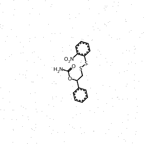 NC(=O)OC(CSSc1ccccc1[N+](=O)[O-])c1ccccc1